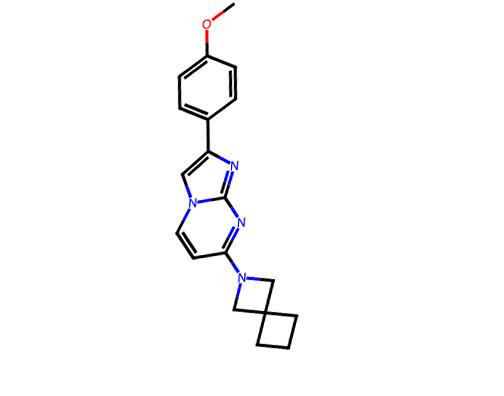 COc1ccc(-c2cn3ccc(N4CC5(CCC5)C4)nc3n2)cc1